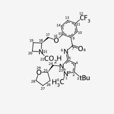 Cn1c(C(C)(C)C)cc(=NC(=O)c2cc(C(F)(F)F)ccc2OC[C@@H]2CCN2C(=O)O)n1C[C@H]1CCCO1